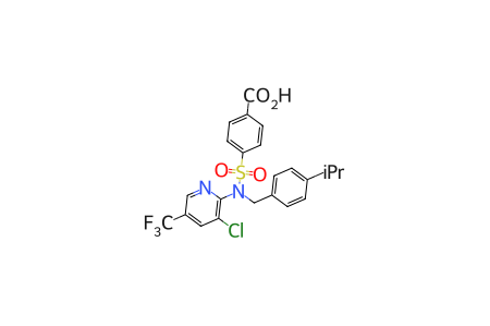 CC(C)c1ccc(CN(c2ncc(C(F)(F)F)cc2Cl)S(=O)(=O)c2ccc(C(=O)O)cc2)cc1